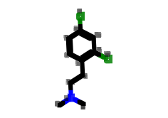 CN(C)[CH]Cc1ccc(Cl)cc1Cl